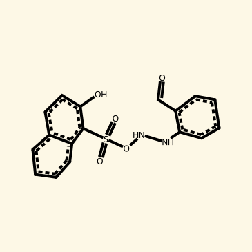 O=Cc1ccccc1NNOS(=O)(=O)c1c(O)ccc2ccccc12